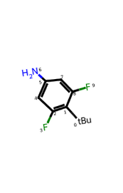 CC(C)(C)c1c(F)cc(N)cc1F